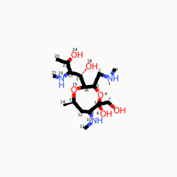 CNCC1OC(O)(CO)C(NC)C[C@@H](C)OC1[C@@H](O)C(NC)C(C)O